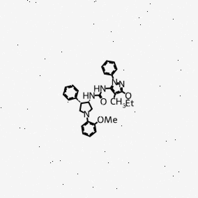 CCOc1nn(-c2ccccc2)c(NC(=O)N[C@@H]2CN(c3ccccc3OC)C[C@H]2c2ccccc2)c1C